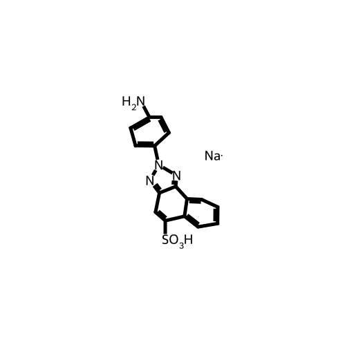 Nc1ccc(-n2nc3cc(S(=O)(=O)O)c4ccccc4c3n2)cc1.[Na]